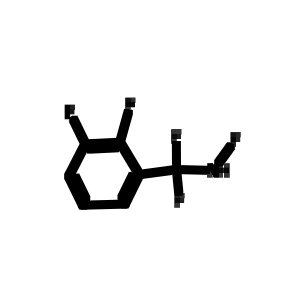 FNC(F)(F)c1cccc(F)c1F